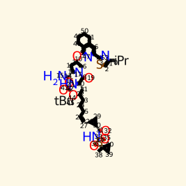 CC(C)c1csc(-c2cc3c(c(O[C@@H]4C[C@@H](C(N)=O)N(C(=O)[C@H](CCCCC/C=C\[C@@H]5C[C@@H]5C(=O)NS(=O)(=O)C5(C)CC5)NC(=O)OC(C)(C)C)C4)n2)CCCC3)n1